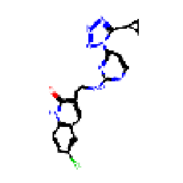 O=c1[nH]c2ccc(Cl)cc2cc1CNc1nccc(-n2nnnc2C2CC2)n1